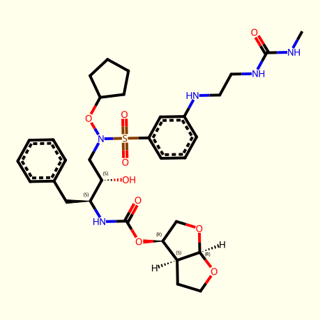 CNC(=O)NCCNc1cccc(S(=O)(=O)N(C[C@H](O)[C@H](Cc2ccccc2)NC(=O)O[C@H]2CO[C@H]3OCC[C@H]32)OC2CCCC2)c1